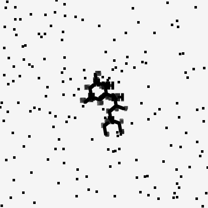 CCN(CC)CC(C)NC1=CN(C)CN(C)N1